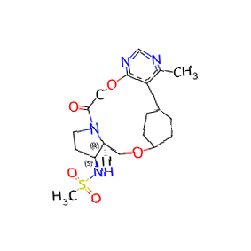 Cc1ncnc2c1C1CCC(CC1)OC[C@H]1[C@@H](NS(C)(=O)=O)CCN1C(=O)CO2